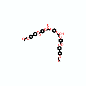 O=C(OC1CCC(c2ccc(OCC3CO3)cc2)CC1)c1ccc(OCC(O)COc2ccc(OCC(O)COc3ccc(C(=O)OC4CCC(c5ccc(OCC6CO6)cc5)CC4)cc3)cc2)cc1